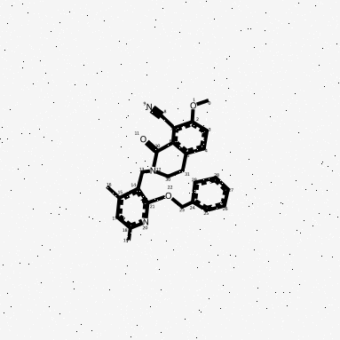 COc1ccc2c(c1C#N)C(=O)N(Cc1c(C)cc(C)nc1OCc1ccccc1)CC2